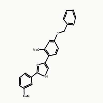 COc1cccc(-c2nc(-c3ccc(OCc4ccccc4)cc3OC)c[nH]2)c1